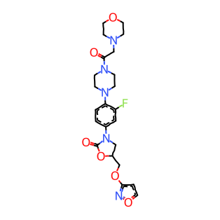 O=C(CN1CCOCC1)N1CCN(c2ccc(N3CC(COc4ccon4)OC3=O)cc2F)CC1